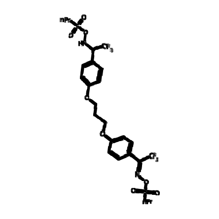 CCCS(=O)(=O)O/N=C(/c1ccc(OCCCOc2ccc(C(NOS(=O)(=O)CCC)C(F)(F)F)cc2)cc1)C(F)(F)F